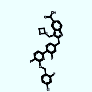 O=C(O)c1ccc2nc(Cc3ccc(-c4ccc(F)c(OCc5ccc(Cl)cc5F)n4)c(F)c3)n(C[C@@H]3CCO3)c2c1